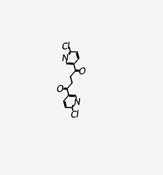 O=C(CCC(=O)c1ccc(Cl)nc1)c1ccc(Cl)nc1